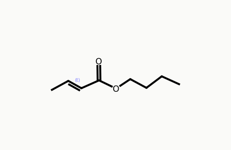 C/C=C/C(=O)OCCCC